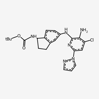 CC(C)(C)OC(=O)N[C@H]1CCc2cc(Nc3nc(-n4cccn4)cc(Cl)c3N)ccc21